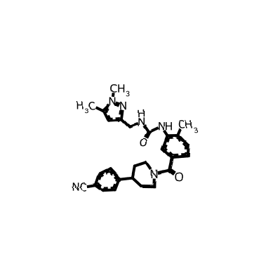 Cc1ccc(C(=O)N2CCC(c3ccc(C#N)cc3)CC2)cc1NC(=O)NCc1cc(C)n(C)n1